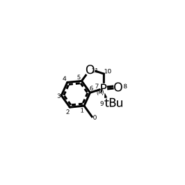 Cc1cccc2c1[P@](=O)(C(C)(C)C)CO2